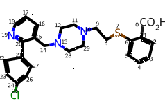 O=C(O)c1ccccc1SCCN1CCN(Cc2cccnc2-c2ccc(Cl)cc2)CC1